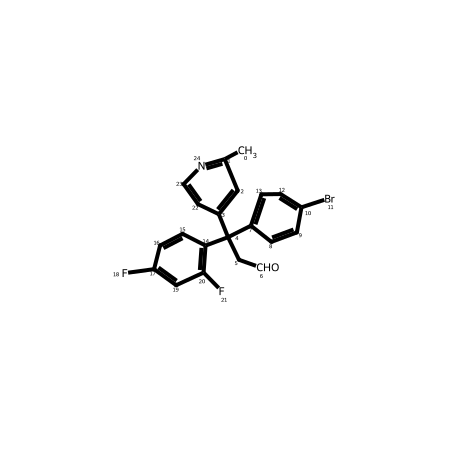 Cc1cc(C(CC=O)(c2ccc(Br)cc2)c2ccc(F)cc2F)ccn1